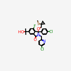 CSC1(CO[C@]2(c3ccc(Cl)cc3)c3c(F)cc(C(C)(C)O)cc3C(=O)N2Cc2ccc(Cl)cn2)CC1